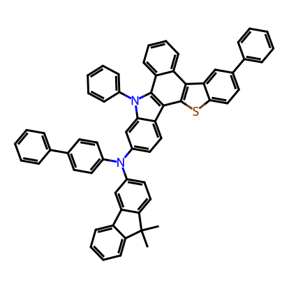 CC1(C)c2ccccc2-c2cc(N(c3ccc(-c4ccccc4)cc3)c3ccc4c5c6sc7ccc(-c8ccccc8)cc7c6c6ccccc6c5n(-c5ccccc5)c4c3)ccc21